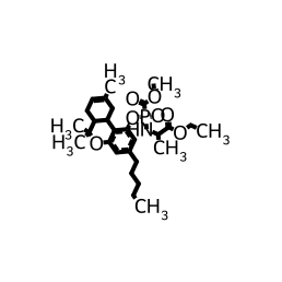 CCCCCc1cc2c(c(OP(=O)(NC(C)C(=O)OCC)C(=O)OC)c1)C1CC(C)=CCC1C(C)(C)O2